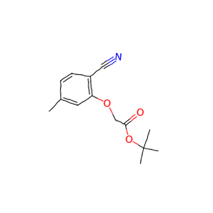 Cc1ccc(C#N)c(OCC(=O)OC(C)(C)C)c1